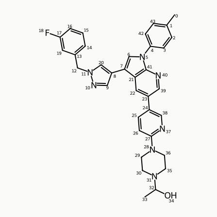 Cc1ccc(-n2cc(-c3cnn(Cc4cccc(F)c4)c3)c3cc(-c4ccc(N5CCN(C(C)O)CC5)nc4)cnc32)cc1